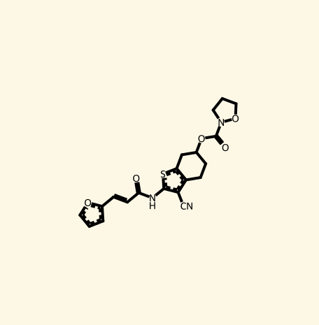 N#Cc1c(NC(=O)C=Cc2ccco2)sc2c1CCC(OC(=O)N1CCCO1)C2